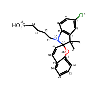 CC1(C)c2cc(Cl)ccc2N(CCCCS(=O)(=O)O)C12C=Cc1ccccc1O2